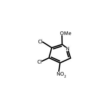 COc1ncc([N+](=O)[O-])c(Cl)c1Cl